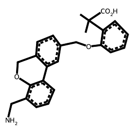 CC(C)(C(=O)O)c1ccccc1OCc1ccc2c(c1)-c1cccc(CN)c1OC2